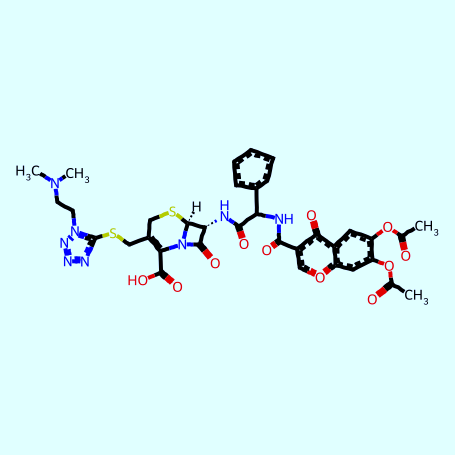 CC(=O)Oc1cc2occ(C(=O)NC(C(=O)N[C@@H]3C(=O)N4C(C(=O)O)=C(CSc5nnnn5CCN(C)C)CS[C@@H]34)c3ccccc3)c(=O)c2cc1OC(C)=O